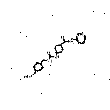 COc1ccc(CNC(=O)NC2CCC(C(=O)NCc3cccnc3)CC2)cc1